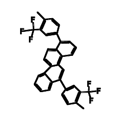 Cc1ccc(-c2cc3c4cccc(-c5ccc(C)c(C(F)(F)F)c5)c4ccc3c3ccccc23)cc1C(F)(F)F